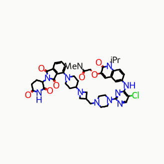 CNC(=O)COc1cc2cc(Nc3nc(N4CCN(CC5CN(C6CCN(c7cccc8c7C(=O)N(C7CCC(=O)NC7=O)C8=O)CC6)C5)CC4)ncc3Cl)ccc2n(C(C)C)c1=O